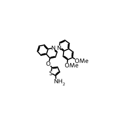 COc1cc2cccnc2cc1OC.Nc1ccc(Oc2ccnc3ccccc23)s1